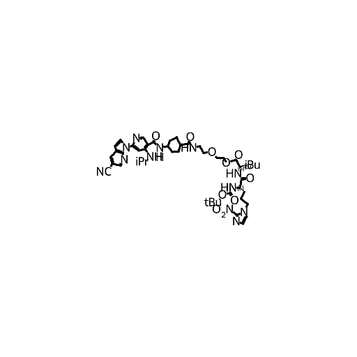 CC[C@H](C)[C@H](NC(=O)[C@H](CCCn1ccnc1[N+](=O)[O-])NC(=O)OC(C)(C)C)C(=O)OCCOCCNC(=O)C1CCC(NC(=O)c2cnc(-n3ccc4cc(C#N)cnc43)cc2NC(C)C)CC1